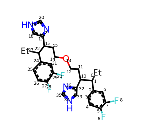 CCC(c1ccc(F)c(F)c1)C(CCOCCC(c1c[nH]cn1)C(CC)c1ccc(F)c(F)c1)c1c[nH]cn1